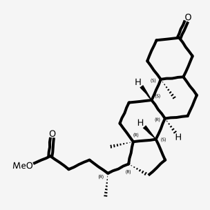 COC(=O)CC[C@@H](C)[C@H]1CC[C@H]2[C@@H]3CCC4CC(=O)CC[C@]4(C)[C@H]3CC[C@]12C